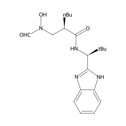 CCCC[C@H](CN(O)C=O)C(=O)N[C@H](c1nc2ccccc2[nH]1)C(C)(C)C